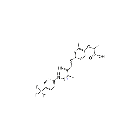 C/C(=N/Nc1ccc(C(F)(F)F)cc1)C(=N)CSc1ccc(OC(C)C(=O)O)c(C)c1